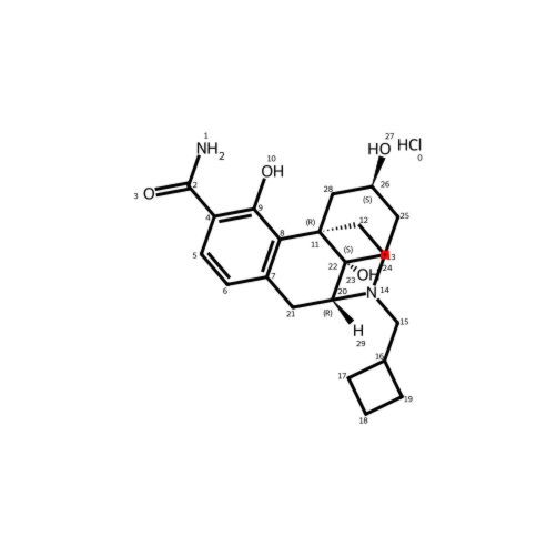 Cl.NC(=O)c1ccc2c(c1O)[C@]13CCN(CC4CCC4)[C@H](C2)[C@]1(O)CC[C@H](O)C3